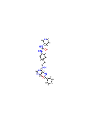 O=C(Nc1ccc(CCNc2ncnc3oc(-c4ccccc4)nc23)cc1)Nc1cccnc1